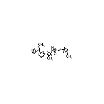 CCCN(c1nccc(-c2sc(NC(=O)NCCc3ncc(CC)o3)nc2C)n1)n1ccnc1